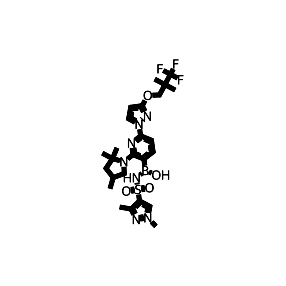 Cc1nn(C)cc1S(=O)(=O)NB(O)c1ccc(-n2ccc(OCC(C)(C)C(F)(F)F)n2)nc1N1CC(C)CC1(C)C